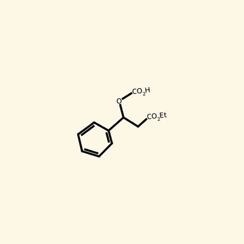 CCOC(=O)CC(OC(=O)O)c1ccccc1